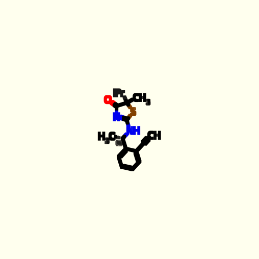 C#Cc1ccccc1[C@H](C)NC1=NC(=O)C(C)(C(C)C)S1